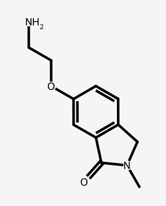 CN1Cc2ccc(OCCN)cc2C1=O